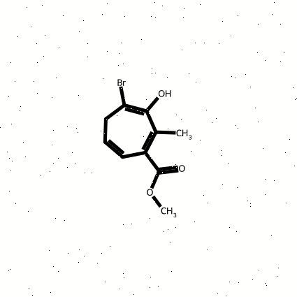 COC(=O)C1=C(C)C(O)=C(Br)CC=C1